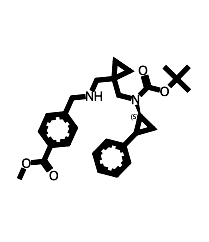 COC(=O)c1ccc(CNCC2(CN(C(=O)OC(C)(C)C)[C@H]3CC3c3ccccc3)CC2)cc1